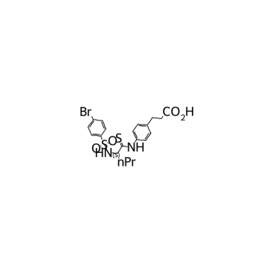 CCC[C@H](NS(=O)(=O)c1ccc(Br)cc1)C(=S)Nc1ccc(CCC(=O)O)cc1